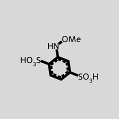 CONc1cc(S(=O)(=O)O)ccc1S(=O)(=O)O